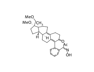 COC[C@]1(OC)CC[C@H]2[C@@H]3CCC4=C(c5ccccc5/C(=N\O)C(C)=O)C(=O)CCC4=C3CC[C@@]21C